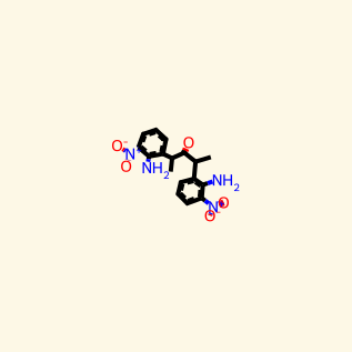 CC(C(=O)C(C)c1cccc([N+](=O)[O-])c1N)c1cccc([N+](=O)[O-])c1N